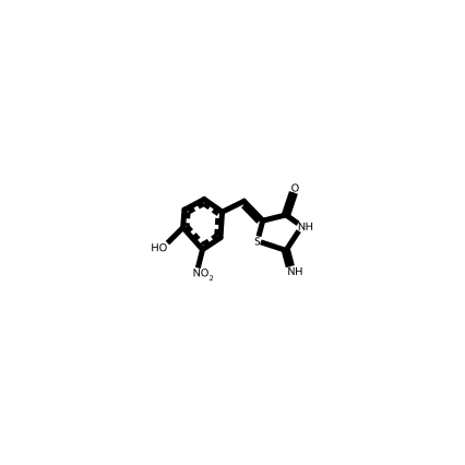 N=C1NC(=O)C(=Cc2ccc(O)c([N+](=O)[O-])c2)S1